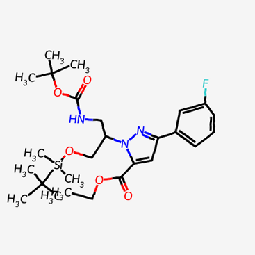 CCOC(=O)c1cc(-c2cccc(F)c2)nn1C(CNC(=O)OC(C)(C)C)CO[Si](C)(C)C(C)(C)C